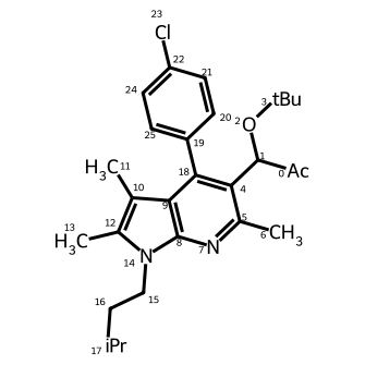 CC(=O)C(OC(C)(C)C)c1c(C)nc2c(c(C)c(C)n2CCC(C)C)c1-c1ccc(Cl)cc1